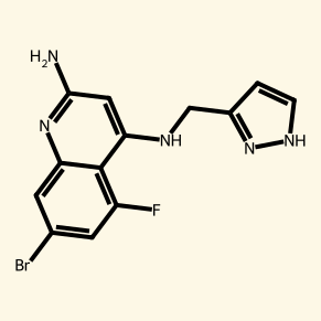 Nc1cc(NCc2cc[nH]n2)c2c(F)cc(Br)cc2n1